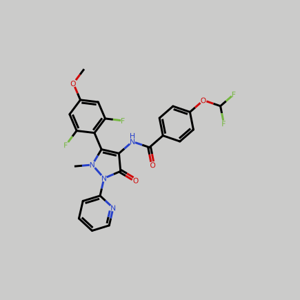 COc1cc(F)c(-c2c(NC(=O)c3ccc(OC(F)F)cc3)c(=O)n(-c3ccccn3)n2C)c(F)c1